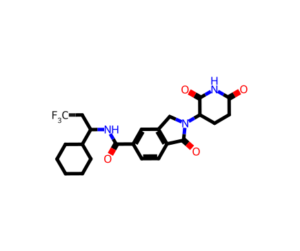 O=C1CCC(N2Cc3cc(C(=O)NC(CC(F)(F)F)C4CCCCC4)ccc3C2=O)C(=O)N1